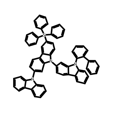 c1ccc(-c2ccccc2-n2c3ccccc3c3ccc(-n4c5ccc([Si](c6ccccc6)(c6ccccc6)c6ccccc6)cc5c5ccc(-n6c7ccccc7c7ccccc76)cc54)cc32)cc1